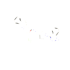 Cl.Cl.NC(CC(=O)NCC1CCN(c2ncnc3ccccc23)CC1)Cc1ccccc1